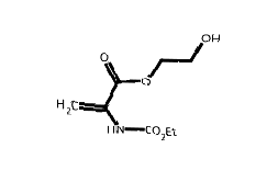 C=C(NC(=O)OCC)C(=O)OCCO